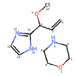 C1COCCN1.C=CC(OCC)c1ncc[nH]1